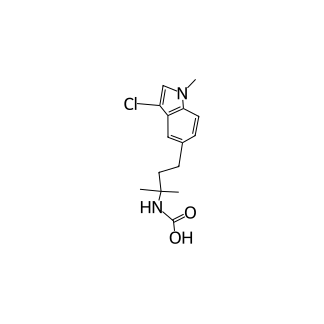 Cn1cc(Cl)c2cc(CCC(C)(C)NC(=O)O)ccc21